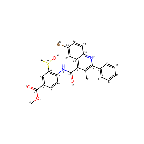 COC(=O)c1ccc(NC(=O)c2c(C)c(-c3ccccc3)nc3ccc(Br)cc23)c([S+](C)[O-])c1